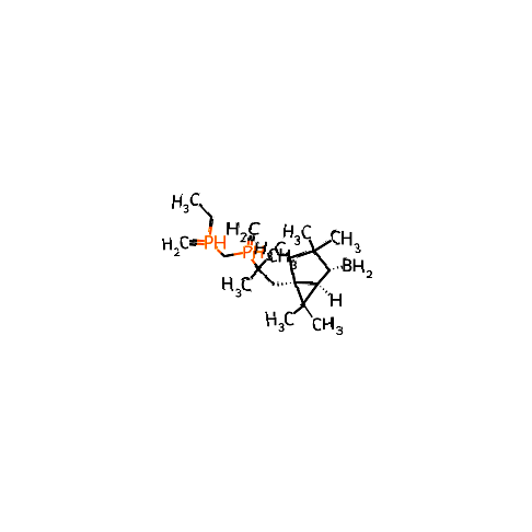 B[C@@H]1[C@H]2C(C)(C)[C@@]2(CC(C)(C)[PH](=C)C[PH](=C)CC)[C@@H](C)C1(C)C